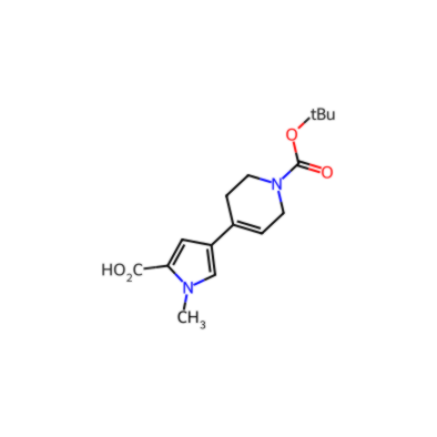 Cn1cc(C2=CCN(C(=O)OC(C)(C)C)CC2)cc1C(=O)O